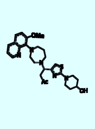 COc1ccc2cccnc2c1N1CCCN(C(CC(C)=O)c2csc(N3CCC(O)CC3)n2)CC1